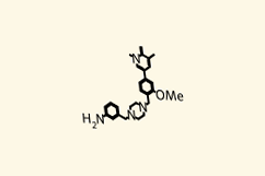 C=C1C(C)=CC(c2ccc(CN3CCN(Cc4cccc(N)c4)CC3)c(OC)c2)=CN1C